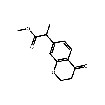 COC(=O)C(C)c1ccc2c(c1)OCCC2=O